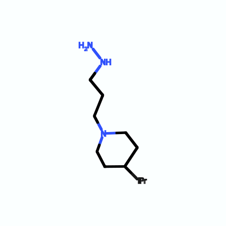 CC(C)C1CCN(CCCNN)CC1